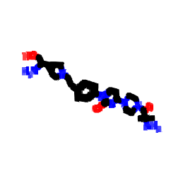 CC(C)(N)C(=O)N1CCN(c2ccn(-c3ccc(CCN4CC5C(C4)C5C(N)CO)cc3)c(=O)n2)CC1